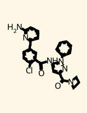 Nc1cccc(-c2ccc(Cl)c(C(=O)Nc3cc(C(=O)N4CCC4)nn3-c3ccccc3)c2)n1